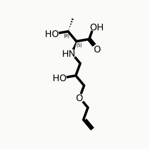 C=CCOCC(O)CN[C@H](C(=O)O)[C@@H](C)O